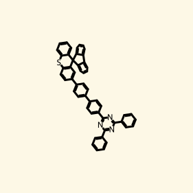 c1ccc(-c2nc(-c3ccccc3)nc(-c3ccc(-c4ccc(-c5ccc6c(c5)C5(c7ccccc7S6)c6ccccc6-c6ccccc65)cc4)cc3)n2)cc1